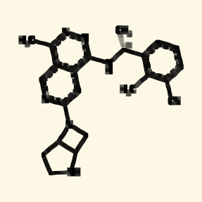 Cc1c(C#N)cccc1[C@@H](C)Nc1nnc(C)c2cnc(N3CC4NCCC43)cc12